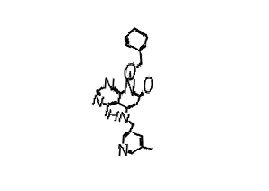 Cc1cncc(CNc2cc(=O)n(OCc3ccccc3)c3ncnc(C)c23)c1